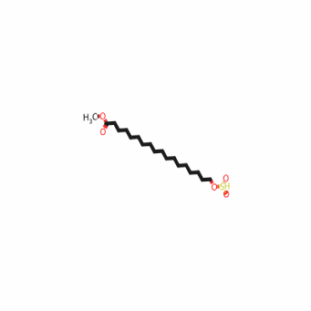 COC(=O)CCCCCCCCCCCCCCCCCO[SH](=O)=O